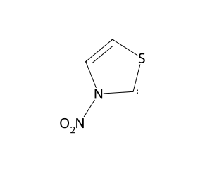 O=[N+]([O-])N1[C]SC=C1